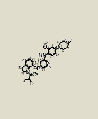 COc1cc(N2CCN(C)CC2)ccc1Nc1cc(Nc2cccc3c2N(C(=O)C(C)C)CC3)ccn1